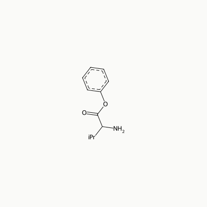 CC(C)C(N)C(=O)Oc1ccccc1